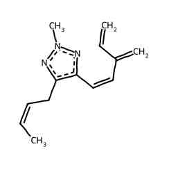 C=CC(=C)/C=C\c1nn(C)nc1C/C=C\C